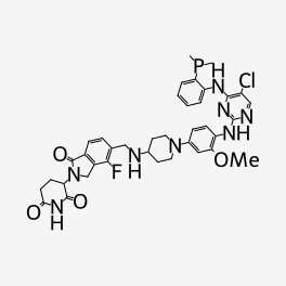 COc1cc(N2CCC(NCc3ccc4c(c3F)CN(C3CCC(=O)NC3=O)C4=O)CC2)ccc1Nc1ncc(Cl)c(Nc2ccccc2P(C)C)n1